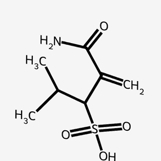 C=C(C(N)=O)C(C(C)C)S(=O)(=O)O